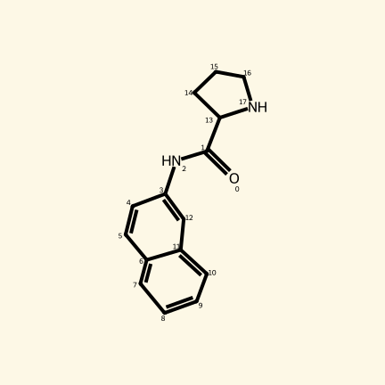 O=C(Nc1ccc2ccccc2c1)C1CCCN1